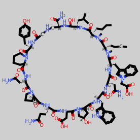 CCCC[C@H]1C(=O)N(C)[C@@H](CCCC)C(=O)N[C@@H](CC(C)C)C(O)N[C@H](C(N)=O)CNCC(=O)N[C@@H](Cc2ccc(O)cc2)C(=O)N2CCCC[C@H]2C(=O)N[C@@H](CC(N)=O)C(=O)N2CCC[C@H]2C(=O)N[C@@H](CCC(N)=O)C(=O)NC(CC(=O)O)C(=O)N2C[C@H](O)C[C@H]2C(=O)N[C@@H](Cc2c[nH]c3ccccc23)C(=O)N[C@@H](CC(N)=O)C(=O)N[C@@H](Cc2cn(CC(=O)O)c3ccccc23)C(=O)N1C